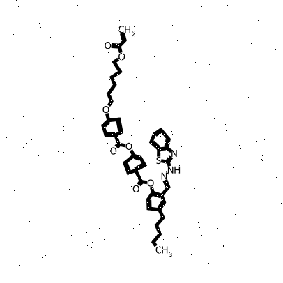 C=CC(=O)OCCCCCCOc1ccc(C(=O)Oc2ccc(C(=O)Oc3ccc(CCCCC)cc3/C=N/Nc3nc4ccccc4s3)cc2)cc1